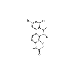 CC(C(=O)c1cccc2c1OCC(=O)N2C)c1ccc(Br)cc1Cl